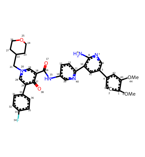 COc1ccc(-c2cnc(N)c(-c3ccc(NC(=O)c4cn(CC5CCOCC5)cc(-c5ccc(F)cc5)c4=O)cn3)c2)cc1OC